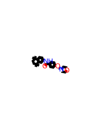 CC1(C)CCC(C)(C)c2cc(NC(=O)c3ccc(OCN4CCOCC4)cc3)ccc21